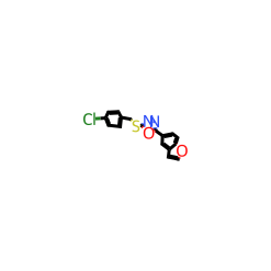 Clc1ccc(CSc2nnc(-c3ccc4occc4c3)o2)cc1